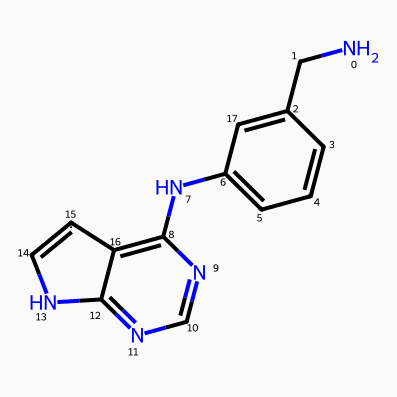 NCc1cccc(Nc2ncnc3[nH]c[c]c23)c1